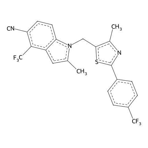 [C-]#[N+]c1ccc2c(cc(C)n2Cc2sc(-c3ccc(C(F)(F)F)cc3)nc2C)c1C(F)(F)F